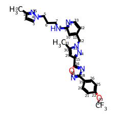 Cc1ccn(CCCNc2cc(Cn3nc(-c4nc(-c5ccc(OC(F)(F)F)cc5)no4)cc3C)ccn2)n1